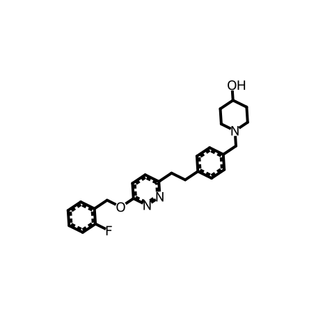 OC1CCN(Cc2ccc(CCc3ccc(OCc4ccccc4F)nn3)cc2)CC1